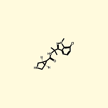 Cn1nc(C(C)(C)NC(=O)C2[C@H]3CNC[C@@H]23)c2cccc(Cl)c21